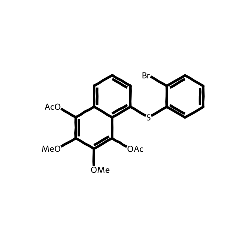 COc1c(OC)c(OC(C)=O)c2c(Sc3ccccc3Br)cccc2c1OC(C)=O